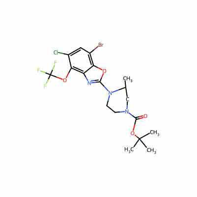 CC1CN(C(=O)OC(C)(C)C)CCN1c1nc2c(OC(F)(F)F)c(Cl)cc(Br)c2o1